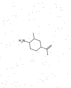 C=C(C)C1CCC(N)C(C)C1